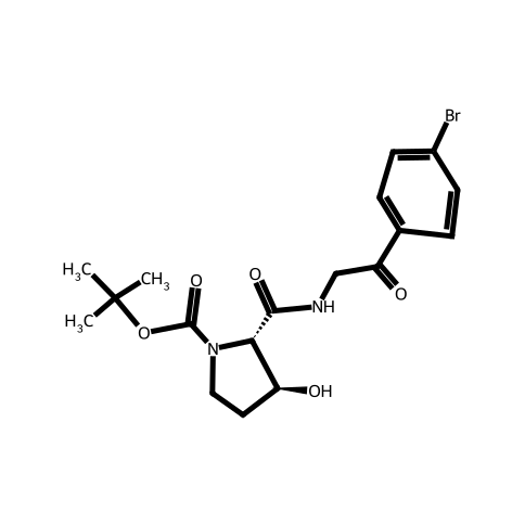 CC(C)(C)OC(=O)N1CC[C@H](O)[C@H]1C(=O)NCC(=O)c1ccc(Br)cc1